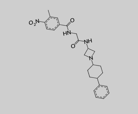 Cc1cc(C(=O)NCC(=O)NC2CN(C3CCC(c4ccccc4)CC3)C2)ccc1[N+](=O)[O-]